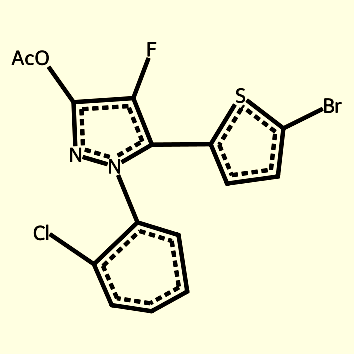 CC(=O)Oc1nn(-c2ccccc2Cl)c(-c2ccc(Br)s2)c1F